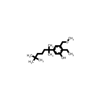 CCc1c(O)cc(C(C)(C)CCCC(C)(C)C)cc1COC